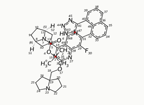 CC(C)(C)OC(=O)N1[C@@H]2CC[C@H]1CN(c1nc(OCC34CCCN3CCC4)nc3c(F)c(-c4cccc5cccc(-c6c[nH]nn6)c45)ncc13)C2